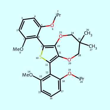 COc1cccc(OC(C)C)c1-c1sc(-c2c(OC)cccc2OC(C)C)c2c1OCC(C)(C)CO2